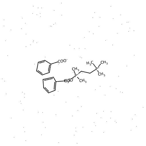 C[P+](C)(C)CC[P+](C)(C)C.O=C([O-])c1ccccc1.O=C([O-])c1ccccc1